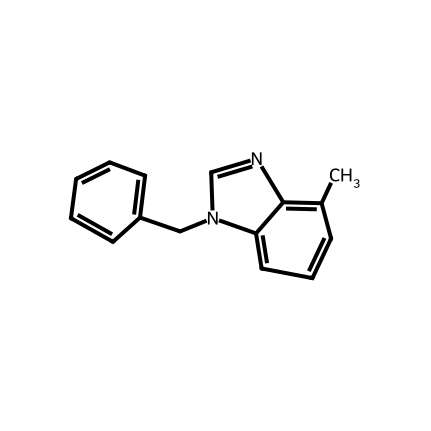 Cc1cccc2c1ncn2Cc1ccccc1